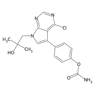 CC(C)(O)Cn1cc(-c2ccc(OC(N)=O)cc2)c2c(Cl)ncnc21